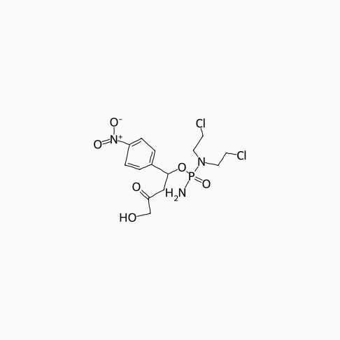 NP(=O)(OC(CC(=O)CO)c1ccc([N+](=O)[O-])cc1)N(CCCl)CCCl